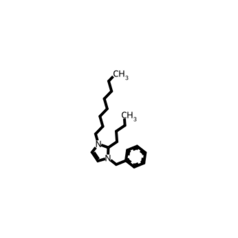 CCCCCCCCN1C=CN(Cc2ccccc2)C1CCCC